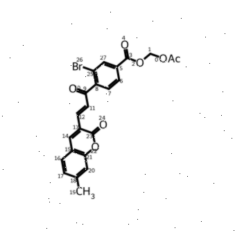 CC(=O)OCOC(=O)c1ccc(C(=O)/C=C/c2cc3ccc(C)cc3oc2=O)c(Br)c1